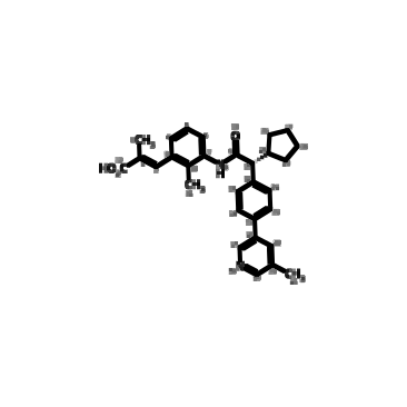 C/C(=C\c1cccc(NC(=O)[C@@H](c2ccc(-c3cncc(C)c3)cc2)C2CCCC2)c1C)C(=O)O